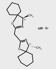 C[C@H]1N=C(CC2=N[C@H](C)C3(CCCCC3)O2)OC12CCCCC2.[Br-].[Br-].[Ni+2]